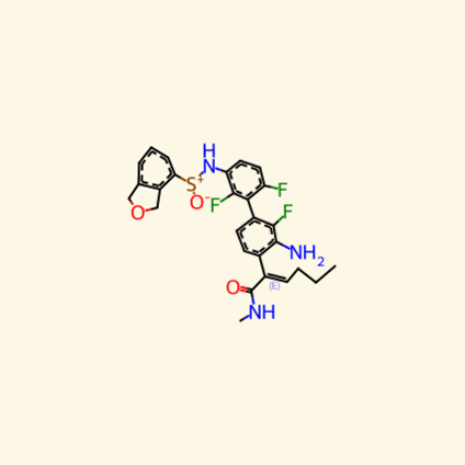 CCC/C=C(/C(=O)NC)c1ccc(-c2c(F)ccc(N[S+]([O-])c3cccc4c3COC4)c2F)c(F)c1N